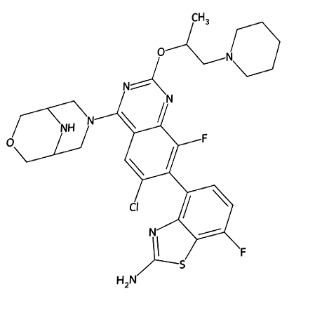 CC(CN1CCCCC1)Oc1nc(N2CC3COCC(C2)N3)c2cc(Cl)c(-c3ccc(F)c4sc(N)nc34)c(F)c2n1